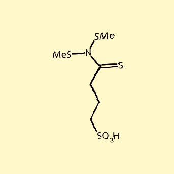 CSN(SC)C(=S)CCCS(=O)(=O)O